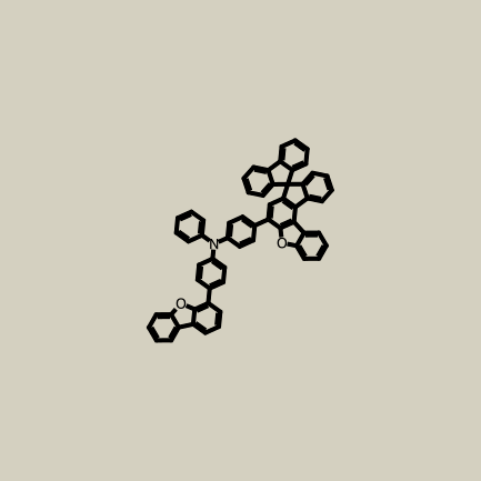 c1ccc(N(c2ccc(-c3cccc4c3oc3ccccc34)cc2)c2ccc(-c3cc4c(c5c3oc3ccccc35)-c3ccccc3C43c4ccccc4-c4ccccc43)cc2)cc1